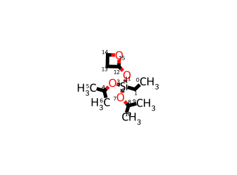 CC[Si](OC(C)C)(OC(C)C)OC1CCO1